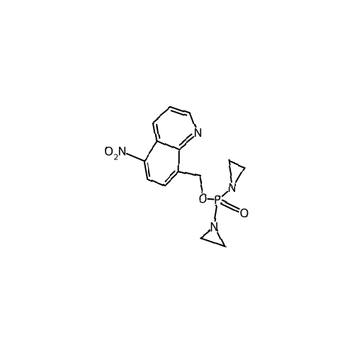 O=[N+]([O-])c1ccc(COP(=O)(N2CC2)N2CC2)c2ncccc12